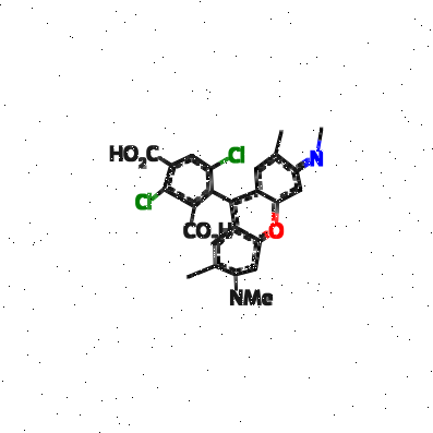 C/N=c1/cc2oc3cc(NC)c(C)cc3c(-c3c(Cl)cc(C(=O)O)c(Cl)c3C(=O)O)c-2cc1C